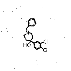 OC1(c2ccc(Cl)c(Cl)c2)CCN(Cc2ccccc2)CC1